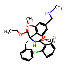 CCOC(=O)[C@](Cc1ccccc1)(NC(=O)c1c(Cl)cccc1Cl)c1c(OC)cc(CNC)cc1OC